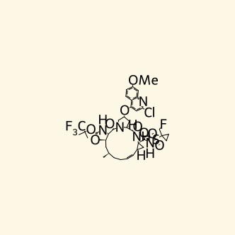 COc1ccc2c(O[C@@H]3C[C@H]4C(=O)N[C@]5(C(=O)NS(=O)(=O)C6(CF)CC6)C[C@H]5/C=C\CC[C@@H](C)C[C@@H](C)[C@H](NC(=O)OC(C)(C)C(F)(F)F)C(=O)N4C3)cc(Cl)nc2c1